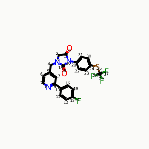 O=C1CN(Cc2ccnc(-c3ccc(F)cc3)c2)C(=O)N1c1ccc(SC(F)(F)F)cc1